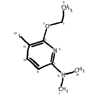 CCOc1nc(N(C)C)ccc1I